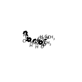 COc1cc(N(C)CCN(C)C)c([N+](=O)[O-])cc1Nc1nccc(Nc2ccc(OCc3ccccn3)c(Cl)c2)n1